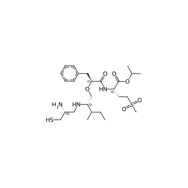 CCC(C)[C@@H](CO[C@@H](Cc1ccccc1)C(=O)N[C@@H](CCS(C)(=O)=O)C(=O)OC(C)C)NC[C@@H](N)CS